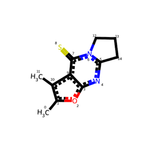 Cc1oc2nc3n(c(=S)c2c1C)CCC3